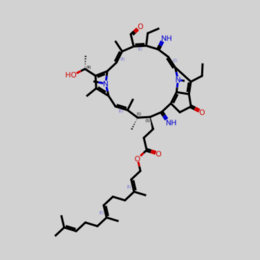 CC/C1=C(C=O)/C(C)=C/c2c([C@@H](C)O)c(C)c(n2C)/C=C(\C)[C@@H](C)[C@H](CCC(=O)OC/C=C(\C)CC/C=C(\C)CCC=C(C)C)C(=N)C2=c3c(c(CC)/c(n3C)=C/C1=N)C(=O)C2